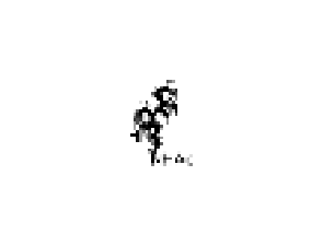 CC(=O)NCCc1cc2c(-c3cnn4ncccc34)ccnc2[nH]1